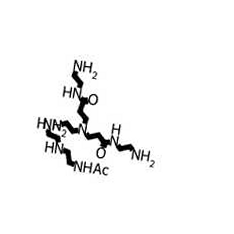 CC(=O)NCCNCCN.NCCNC(=O)CCN(CCN)CCC(=O)NCCN